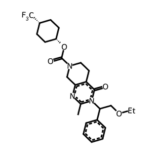 CCOCC(c1ccccc1)n1c(C)nc2c(c1=O)CCN(C(=O)O[C@H]1CC[C@@H](C(F)(F)F)CC1)C2